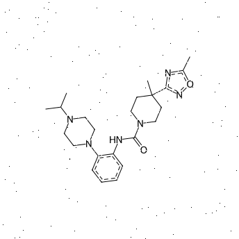 Cc1nc(C2(C)CCN(C(=O)Nc3ccccc3N3CCN(C(C)C)CC3)CC2)no1